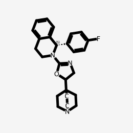 Fc1ccc([C@H]2c3ccccc3CCN2C2=NCC(C34CCN(CC3)CC4)O2)cc1